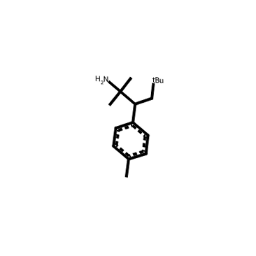 Cc1ccc(C(CC(C)(C)C)C(C)(C)N)cc1